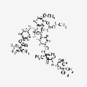 CCOC(=O)CN(C(=O)c1ccc(OCC(C)(C)NCCC(=O)OC(C)(C)C)cc1)c1cc(OC)ccc1[C@@H]1CCc2cc(OC(=O)C(C)(C)C)ccc2C1